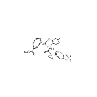 COC(=O)c1cccc([C@H]2C[C@@H](NC(=O)C3(c4ccc5c(c4)OC(F)(F)O5)CC3)c3ccc(C)cc3O2)c1